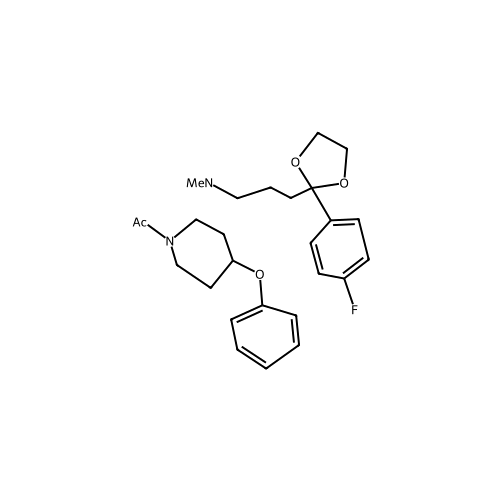 CC(=O)N1CCC(Oc2ccccc2)CC1.CNCCCC1(c2ccc(F)cc2)OCCO1